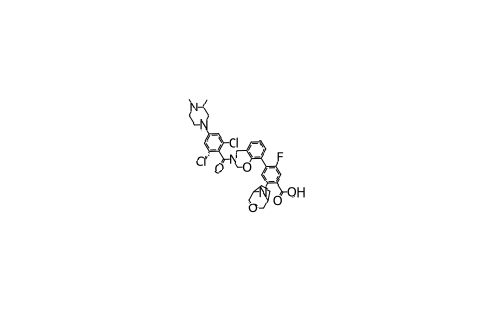 CC1CN(c2cc(Cl)c(C(=O)N3COc4c(cccc4-c4cc(N5C6CCC5COC6)c(C(=O)O)cc4F)C3)c(Cl)c2)CCN1C